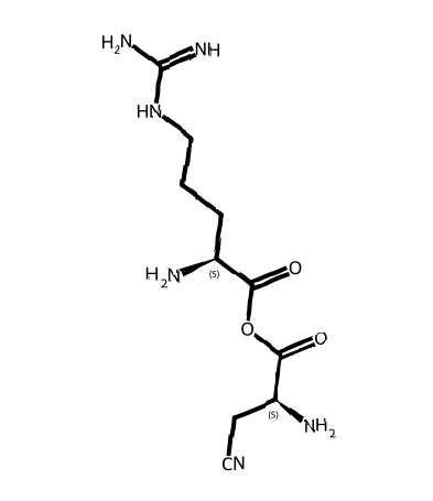 N#CC[C@H](N)C(=O)OC(=O)[C@@H](N)CCCNC(=N)N